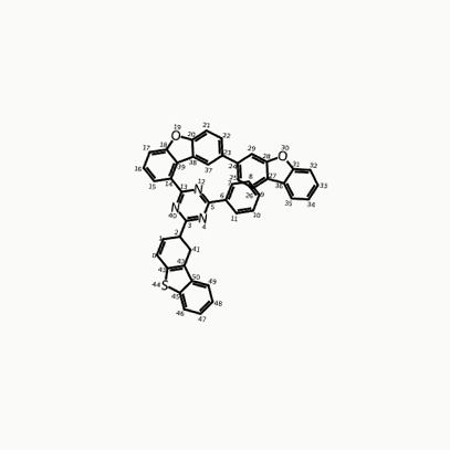 C1=CC(c2nc(-c3ccccc3)nc(-c3cccc4oc5ccc(-c6ccc7c(c6)oc6ccccc67)cc5c34)n2)Cc2c1sc1ccccc21